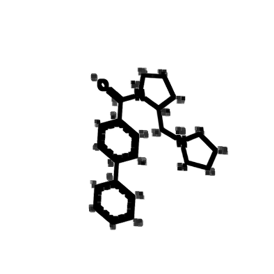 O=C(c1ccc(-c2ccccc2)cc1)N1CCCC1CN1CCCC1